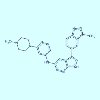 CN1CCN(c2cc(Nc3cnc4[nH]cc(-c5ccc6nnn(C)c6c5)c4c3)ccn2)CC1